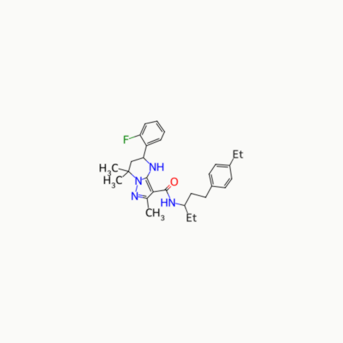 CCc1ccc(CCC(CC)NC(=O)c2c(C)nn3c2NC(c2ccccc2F)CC3(C)C)cc1